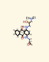 CCN(CC)CC(O)CNc1ccc(NC[C@H]2CO2)c2c1C(=O)c1ccccc1C2=O